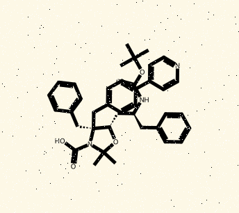 CC(C)(C)OC(=O)N[C@@H](Cc1ccccc1)C[C@@H]1OC(C)(C)N(C(=O)O)[C@@]1(Cc1ccccc1)Cc1ccc(-c2ccncc2)cc1